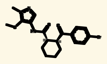 COc1c(NC(=O)[C@H]2CCCC[C@@H]2C(=O)c2ccc(Br)cc2)cnn1C